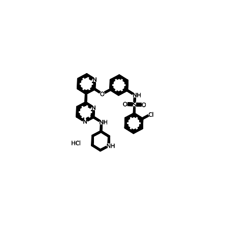 Cl.O=S(=O)(Nc1cccc(Oc2ncccc2-c2ccnc(NC3CCCNC3)n2)c1)c1ccccc1Cl